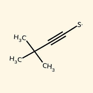 CC(C)(C)C#C[S]